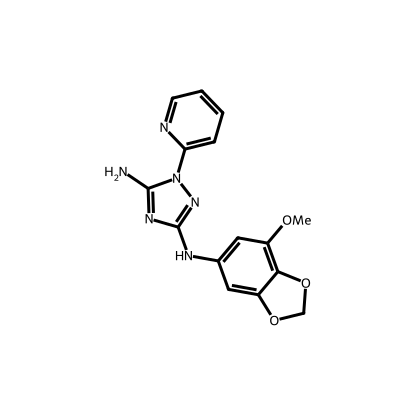 COc1cc(Nc2nc(N)n(-c3ccccn3)n2)cc2c1OCO2